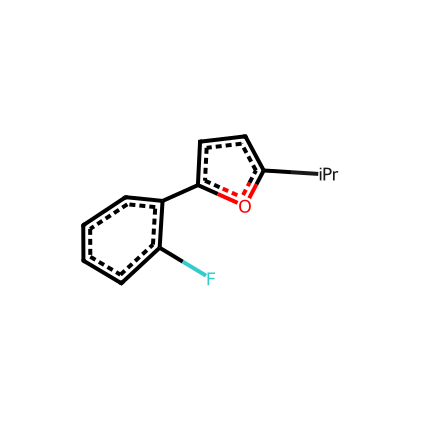 CC(C)c1ccc(-c2ccccc2F)o1